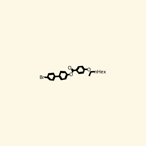 CCCCCCC(C)Oc1ccc(C(=O)Oc2ccc(-c3ccc(Br)cc3)cc2)cc1